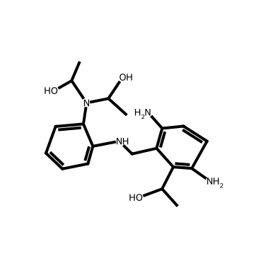 CC(O)c1c(N)ccc(N)c1CNc1ccccc1N(C(C)O)C(C)O